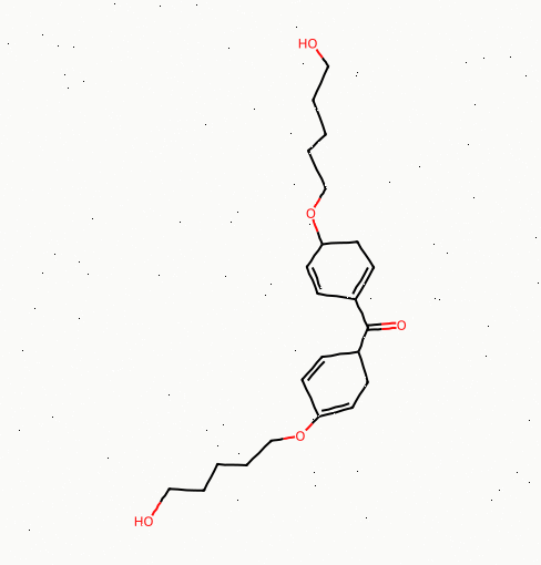 O=C(C1=CCC(OCCCCCO)C=C1)C1C=CC(OCCCCCO)=CC1